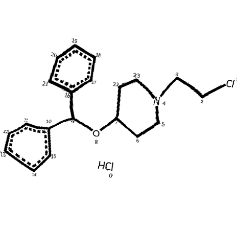 Cl.ClCCN1CCC(OC(c2ccccc2)c2ccccc2)CC1